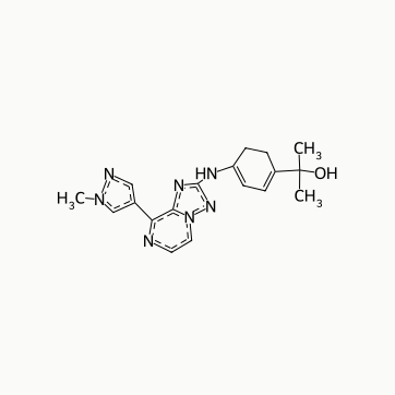 Cn1cc(-c2nccn3nc(NC4=CC=C(C(C)(C)O)CC4)nc23)cn1